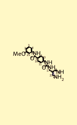 COc1cccc(NC(=O)c2ccc(NC(=O)NC/C(C=N)=C/N)cc2)c1